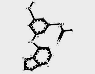 COc1cc(NC(C)=O)cc(Oc2ccnc3ccsc23)c1